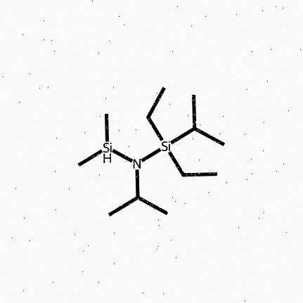 CC[Si](CC)(C(C)C)N(C(C)C)[SiH](C)C